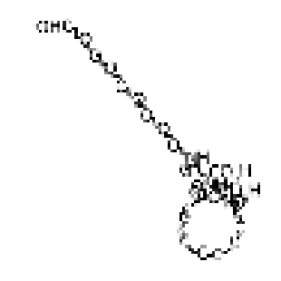 O=[C]CCOCCOCCOCCOCCOCCOCCOCCOCCNC(=O)CC[C@H](NC(=O)C1C[C@@H](C(=O)O)NC(=O)CCCCCCCCCCCCCCCCCCC1=O)C(=O)O